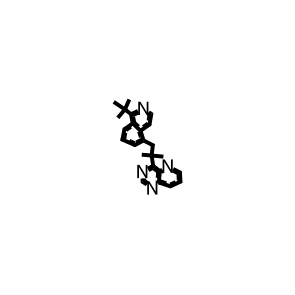 CC(C)(C)c1nccc2c(CC(C)(C)c3ncnc4cccnc34)cccc12